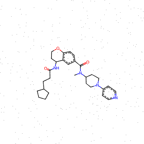 CN(C(=O)c1ccc2c(c1)C(NC(=O)CCC1CCCC1)CCO2)C1CCN(c2ccncc2)CC1